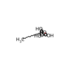 CCCCCCCCCCCCCCC(C(=O)O)c1cc(O)ccc1Sc1ccc(O)cc1O